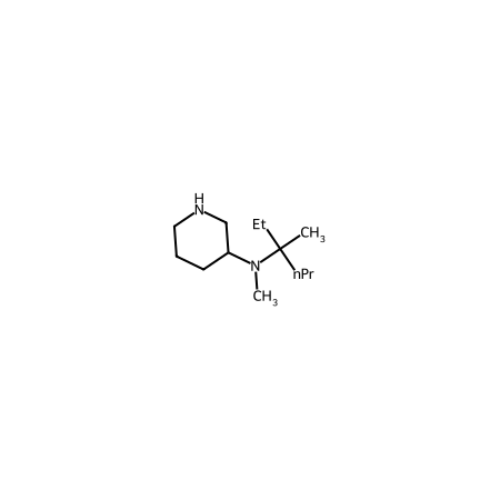 CCCC(C)(CC)N(C)C1CCCNC1